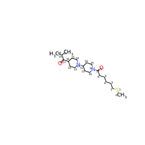 CSCCCCCC(=O)N1CCC(N2CCC(C(=O)C(C)C)CC2)CC1